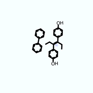 CC/C(=C(/CC)c1ccc(O)cc1)c1ccc(O)cc1.c1ccc(-c2ccccc2)cc1